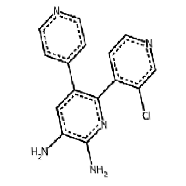 Nc1cc(-c2ccncc2)c(-c2ccncc2Cl)nc1N